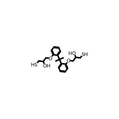 CC(C)(c1ccccc1OCC(O)CS)c1ccccc1OCC(O)CS